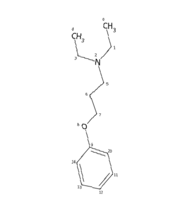 CCN(CC)C[CH]COc1ccccc1